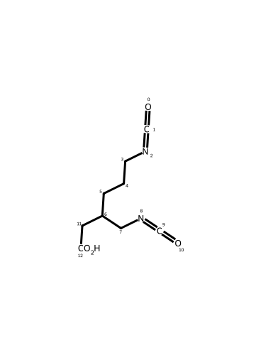 O=C=NCCCC(CN=C=O)CC(=O)O